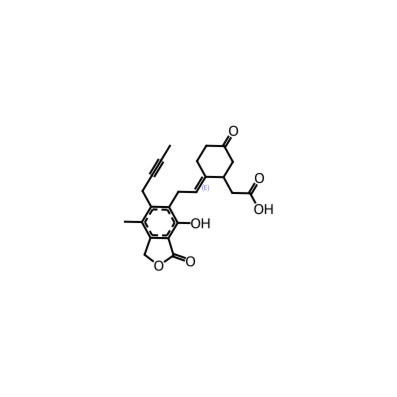 CC#CCc1c(C)c2c(c(O)c1C/C=C1\CCC(=O)CC1CC(=O)O)C(=O)OC2